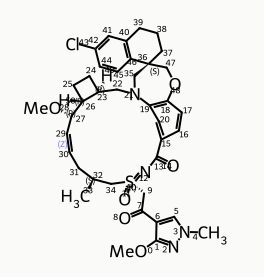 COc1nn(C)cc1C(=O)C[S@@]1(=O)=NC(=O)c2ccc3c(c2)N(C[C@@H]2CC[C@H]2[C@@H](OC)/C=C\C[C@H](C)C1)C[C@@]1(CCCc2cc(Cl)ccc21)CO3